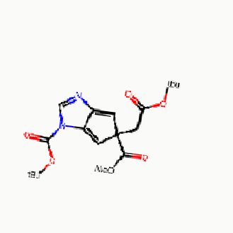 COC(=O)C1(CC(=O)OC(C)(C)C)C=c2ncn(C(=O)OC(C)(C)C)c2=C1